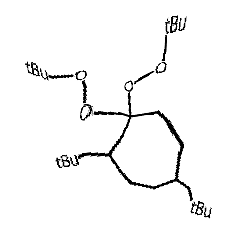 CC(C)(C)OOC1(OOC(C)(C)C)CCC(C(C)(C)C)CC1C(C)(C)C